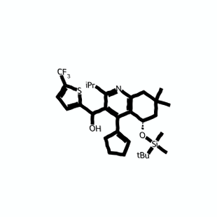 CC(C)c1nc2c(c(C3=CCCC3)c1C(O)c1ccc(C(F)(F)F)s1)[C@@H](O[Si](C)(C)C(C)(C)C)CC(C)(C)C2